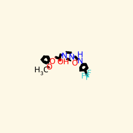 COc1ccccc1OCC(O)CN1CCN(CC(=O)Nc2ccc(C(F)(F)F)cc2)CC1